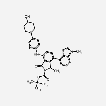 CC1c2c(-c3ccnc4c3ccn4C)ccc(Nc3ccc(N4CCC(O)CC4)cn3)c2C(=O)N1C(=O)OC(C)(C)C